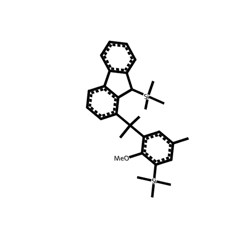 COc1c(C(C)(C)c2cccc3c2C([Si](C)(C)C)c2ccccc2-3)cc(C)cc1[Si](C)(C)C